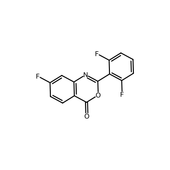 O=c1oc(-c2c(F)cccc2F)nc2cc(F)ccc12